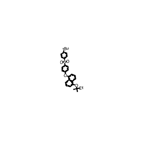 CCC(C)(C)Oc1cccc2c(Oc3ccc(S(=O)(=O)c4ccc(C(C)(C)C)cc4)cc3)cccc12